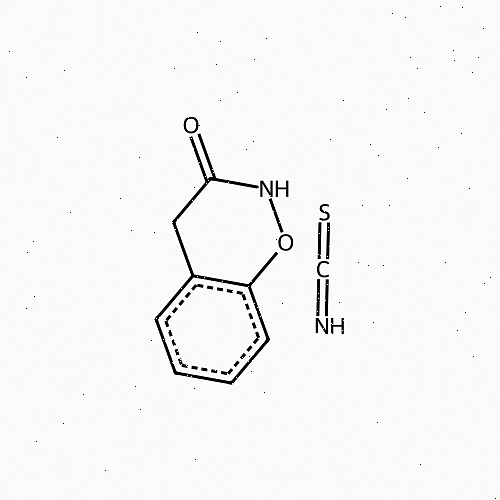 N=C=S.O=C1Cc2ccccc2ON1